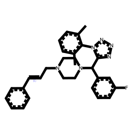 Cc1cccc(C)c1-n1nnnc1C(c1cccc(F)c1)N1CCN(C/C=C/c2ccccc2)CC1